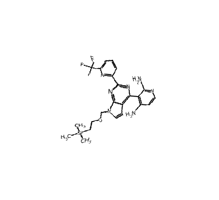 C[Si](C)(C)CCOCn1ccc2c(-c3c(N)ccnc3N)nc(-c3cccc(C(F)(F)F)n3)nc21